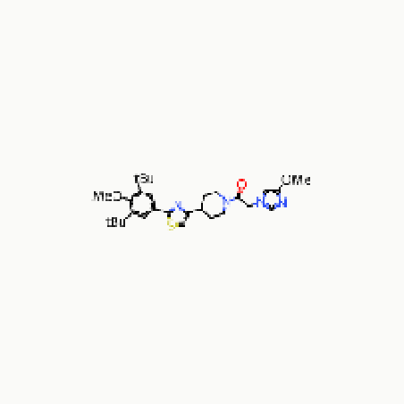 COc1cn(CC(=O)N2CCC(c3csc(-c4cc(C(C)(C)C)c(OC)c(C(C)(C)C)c4)n3)CC2)cn1